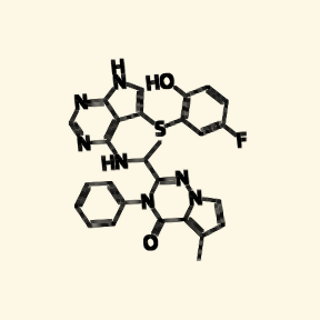 Cc1ccn2nc(C(C)Nc3ncnc4[nH]cc(Sc5cc(F)ccc5O)c34)n(-c3ccccc3)c(=O)c12